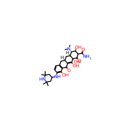 CN(C)[C@@H]1C(O)C(C(N)=O)C(=O)[C@@]2(O)C(O)=C3C(=O)c4c(ccc(NC5CC(C)(C)NC(C)(C)C5)c4O)C[C@H]3C[C@@H]12